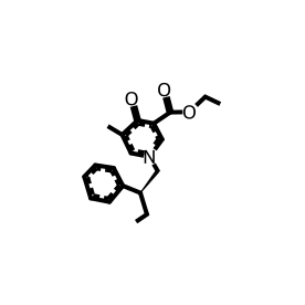 CCOC(=O)c1cn(C[C@@H](CC)c2ccccc2)cc(C)c1=O